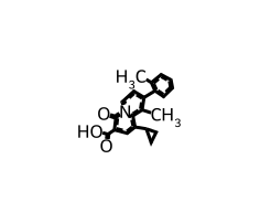 Cc1ccccc1-c1ccn2c(=O)c(C(=O)O)cc(C3CC3)c2c1C